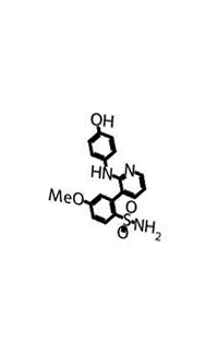 COc1ccc(S(N)(=O)=O)c(-c2cccnc2Nc2ccc(O)cc2)c1